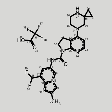 Cc1cn2cc(NC(=O)N3CCc4c(N5CCNC6(CC6)C5)ccnc43)cc(C(F)F)c2n1.O=C(O)C(F)(F)F